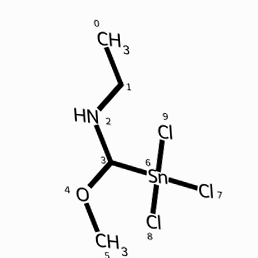 CCN[CH](OC)[Sn]([Cl])([Cl])[Cl]